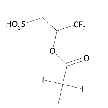 CC(I)(I)C(=O)OC(CS(=O)(=O)O)C(F)(F)F